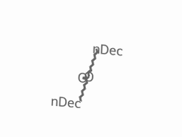 CCCCCCCCCCCCCCCCC=COC(=O)CCCCCCCCCCCCCCCCC